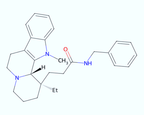 CC[C@]1(CCC(=O)NCc2ccccc2)CCCN2CCc3c(n(C)c4ccccc34)[C@@H]21